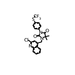 CC1(C)C(=O)N(c2ccc(SC(F)(F)F)cc2)C(=O)N1Cc1cc(Cl)nc2ccccc12